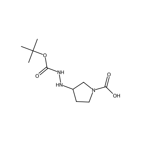 CC(C)(C)OC(=O)NNC1CCN(C(=O)O)C1